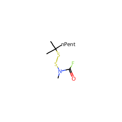 CCCCCC(C)(C)SSN(C)C(=O)F